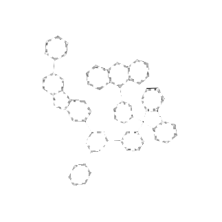 c1ccc(-c2ccc3oc4cc(-c5nc(-c6ccccc6)nc(-c6cccc(C7(c8cccc(-c9c%10ccccc%10cc%10ccccc9%10)c8)c8ccccc8-c8ccccc87)c6)n5)ccc4c3c2)cc1